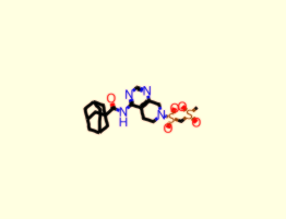 CS(=O)(=O)CS(=O)(=O)N1CCc2c(ncnc2NC(=O)C23CC4CC(CC(C4)C2)C3)C1